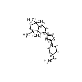 CC1(C)CCC(C)(C)C2CC(c3csc(N4CCC(CN)CC4)n3)CCC21